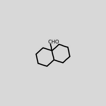 O=CC12CCCCC1CCCC2